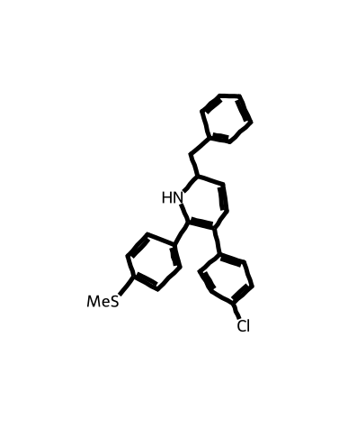 CSc1ccc(C2=C(c3ccc(Cl)cc3)C=CC(Cc3ccccc3)N2)cc1